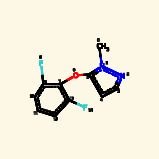 Cn1n[c]cc1Oc1c(F)cccc1F